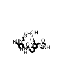 COCCNc1cc(NC(=O)N2CCCc3cc(CN4CCNCC4=O)c(C=O)nc32)ncc1C#N.Cl